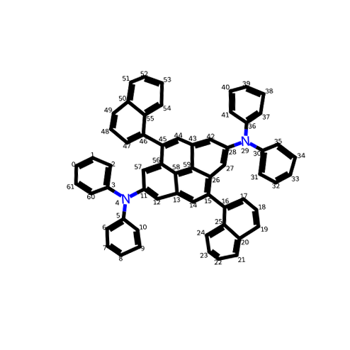 c1ccc(N(c2ccccc2)c2cc3cc(-c4cccc5ccccc45)c4cc(N(c5ccccc5)c5ccccc5)cc5cc(-c6cccc7ccccc67)c(c2)c3c54)cc1